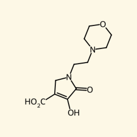 O=C(O)C1=C(O)C(=O)N(CCN2CCOCC2)C1